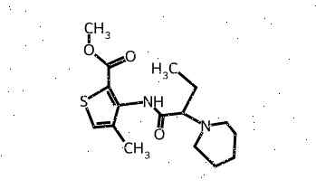 CCC(C(=O)Nc1c(C)csc1C(=O)OC)N1CCCCC1